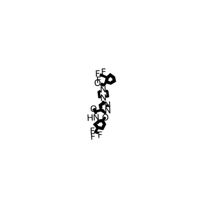 O=C1Nc2cc(C(F)(F)F)ccc2Oc2nnc(N3CCN(C(=O)c4ccccc4C(F)(F)F)CC3)cc21